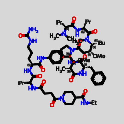 CCNC(=O)C1CCN(C(=O)CCC(=O)NC(C(=O)N[C@@H](CCCNC(N)=O)C(=O)Nc2ccc(CNC(=O)[C@H](Cc3ccccc3)NC(=O)[C@H](C)[C@@H](OC)[C@@H]3CCCN3C(=O)C[C@@H](OC)[C@H]([C@@H](C)CC)N(C)C(=O)[C@@H](NC(=O)[C@H](C(C)C)N(C)C)C(C)C)cc2)C(C)C)CC1